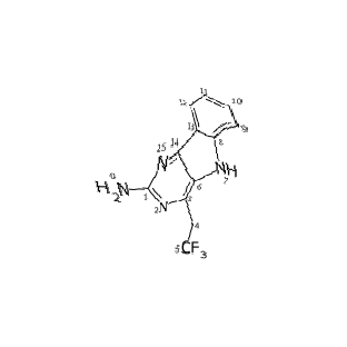 Nc1nc(CC(F)(F)F)c2[nH]c3ccccc3c2n1